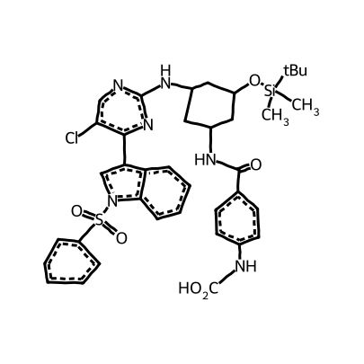 CC(C)(C)[Si](C)(C)OC1CC(NC(=O)c2ccc(NC(=O)O)cc2)CC(Nc2ncc(Cl)c(-c3cn(S(=O)(=O)c4ccccc4)c4ccccc34)n2)C1